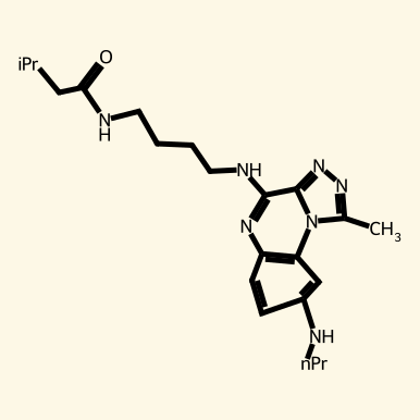 CCCNc1ccc2nc(NCCCCNC(=O)CC(C)C)c3nnc(C)n3c2c1